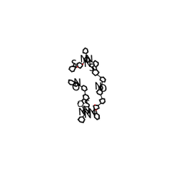 C1=Cc2c(sc3ccc(-c4cccc(-c5nc6ccccc6o5)c4)cc23)C(c2nc(-c3ccccc3)nc(-n3c4ccccc4c4cc(-c5cccc(-c6ccc7nc(-c8cccc(-c9ccc%10sc%11c(-c%12nc(-c%13ccccc%13)nc(-c%13ccc%14c(c%13)sc%13ccccc%13%14)n%12)cccc%11c%10c9)c8)oc7c6)c5)ccc43)n2)C1